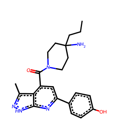 CCCC1(N)CCN(C(=O)c2cc(-c3ccc(O)cc3)nc3[nH]nc(C)c23)CC1